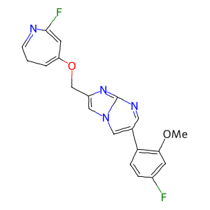 COc1cc(F)ccc1-c1cnc2nc(COC3=CCC=NC(F)=C3)cn2c1